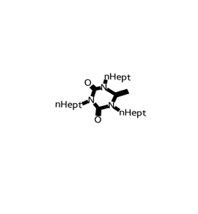 C=C1N(CCCCCCC)C(=O)N(CCCCCCC)C(=O)N1CCCCCCC